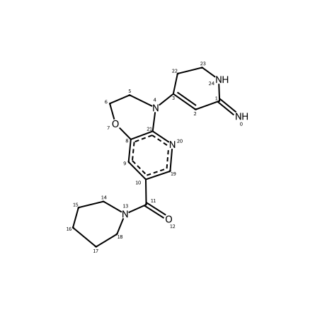 N=C1C=C(N2CCOc3cc(C(=O)N4CCCCC4)cnc32)CCN1